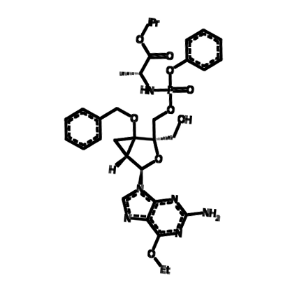 CCOc1nc(N)nc2c1ncn2[C@@H]1O[C@](CO)(COP(=O)(N[C@H](C)C(=O)OC(C)C)Oc2ccccc2)C2(OCc3ccccc3)C[C@@H]12